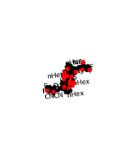 [C-]#[N+]/C(C#N)=C1/C(=C/c2cc3c(s2)-c2sc4c5nsnc5c5c6c7c(sc6c6nsnc6c5c4c2C3(c2ccc(CCCCCC)cc2)c2ccc(CCCCCC)cc2)-c2sc(/C=C3\C(=O)c4cc(F)c(F)cc4\C3=C(/C)C#N)cc2C7(c2ccc(CCCCCC)cc2)c2ccc(CCCCCC)cc2)C(=O)c2cc(F)c(F)cc21